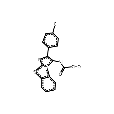 O=CC(=O)Nc1c(-c2ccc(Cl)cc2)nc2sc3ccccc3n12